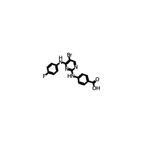 O=C(O)c1ccc(Nc2ncc(Br)c(Nc3ccc(F)cc3)n2)cc1